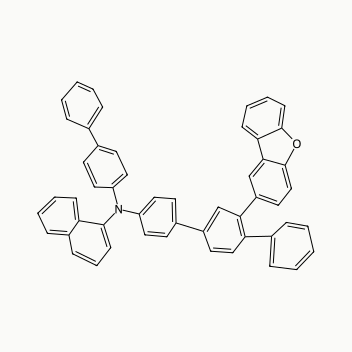 c1ccc(-c2ccc(N(c3ccc(-c4ccc(-c5ccccc5)c(-c5ccc6oc7ccccc7c6c5)c4)cc3)c3cccc4ccccc34)cc2)cc1